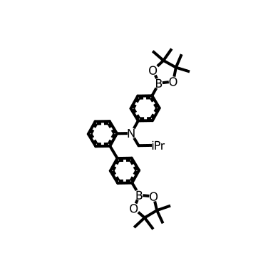 CC(C)CN(c1ccc(B2OC(C)(C)C(C)(C)O2)cc1)c1ccccc1-c1ccc(B2OC(C)(C)C(C)(C)O2)cc1